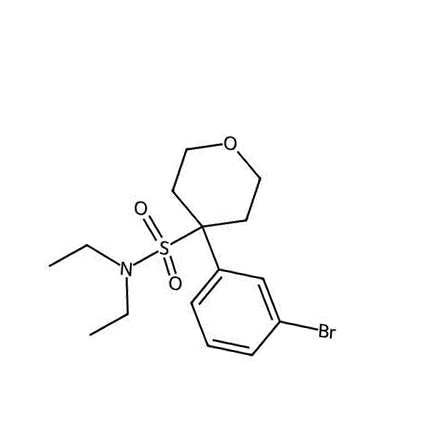 CCN(CC)S(=O)(=O)C1(c2cccc(Br)c2)CCOCC1